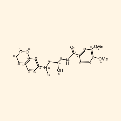 COc1ccc(C(=O)NCC(O)CN(C)c2ccc3c(c2)OOCC3)cc1OC